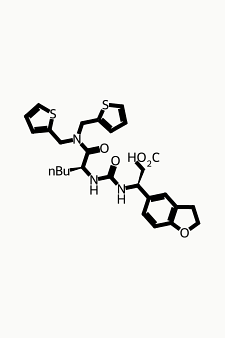 CCCC[C@H](NC(=O)N[C@@H](CC(=O)O)c1ccc2c(c1)CCO2)C(=O)N(Cc1cccs1)Cc1cccs1